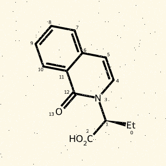 CC[C@@H](C(=O)O)n1ccc2ccccc2c1=O